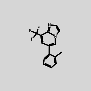 Cc1ccccc1-c1cc(C(F)(F)F)c2nccn2c1